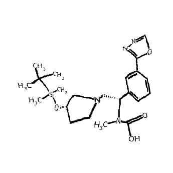 CN(C(=O)O)[C@H](CN1CC[C@H](O[Si](C)(C)C(C)(C)C)C1)c1cccc(-c2nnco2)c1